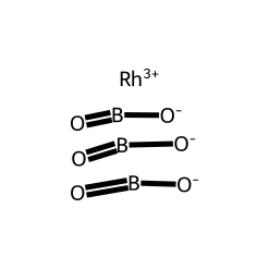 O=B[O-].O=B[O-].O=B[O-].[Rh+3]